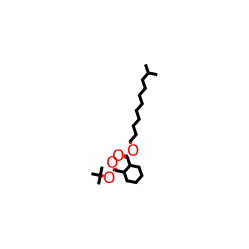 CC(C)CCCCCCCCCOC(=O)C1CCCCC1C(=O)OC(C)(C)C